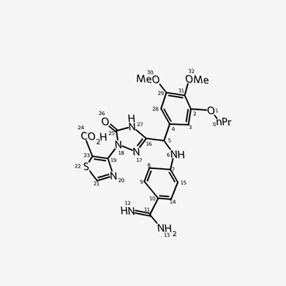 CCCOc1cc(C(Nc2ccc(C(=N)N)cc2)c2nn(-c3ncsc3C(=O)O)c(=O)[nH]2)cc(OC)c1OC